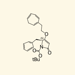 CC(C)(C)OC(=O)N1C(=O)C=C(OCCC2=CCC=CC=C2)[C@@H]1Cc1ccccc1